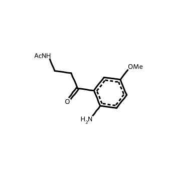 COc1ccc(N)c(C(=O)CCNC(C)=O)c1